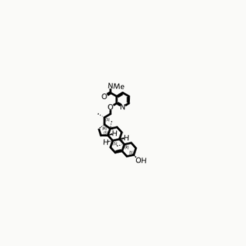 CNC(=O)c1cccnc1OC[C@@H](C)[C@H]1CC[C@H]2[C@@H]3CC=C4C[C@@H](O)CC[C@]4(C)[C@H]3CC[C@]12C